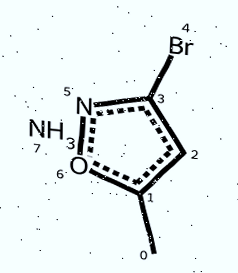 Cc1cc(Br)no1.N